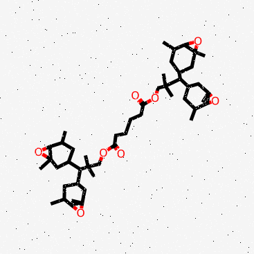 CC1CC(C(C2CC(C)C3OC3(C)C2)C(C)(C)COC(=O)CCCCC(=O)OCC(C)(C)C(C2CC(C)C3OC3(C)C2)C2CC(C)C3OC3(C)C2)CC2(C)OC12